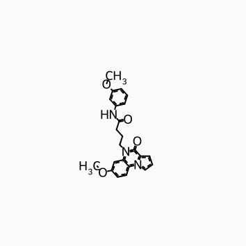 COc1cccc(NC(=O)CCCn2c(=O)c3cccn3c3ccc(OC)cc32)c1